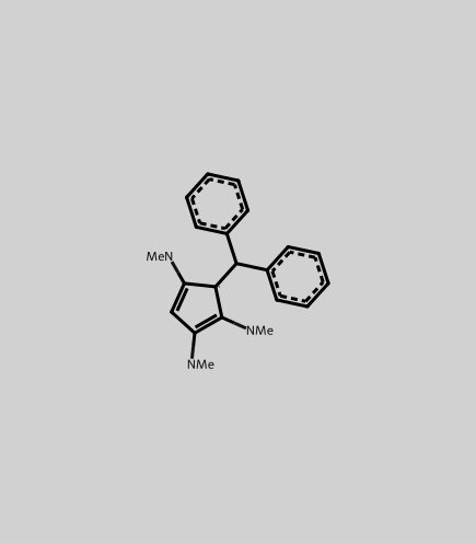 CNC1=CC(NC)=C(NC)[C]1C(c1ccccc1)c1ccccc1